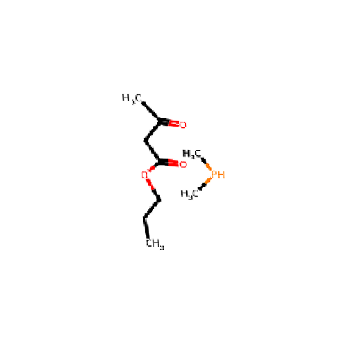 CCCOC(=O)CC(C)=O.CPC